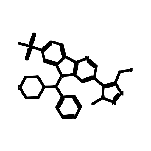 Cn1nnc(CF)c1-c1cnc2c3ccc(S(C)(=O)=O)cc3n(C(c3ccccc3)C3CCOCC3)c2c1